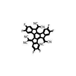 N#CC(C#N)=C1c2cc(F)c(F)cc2-c2c1c1c(c3c2C(=C(C#N)C#N)c2cc(F)c(F)cc2-3)C(=C(C#N)C#N)c2cc(F)c(F)cc2-1